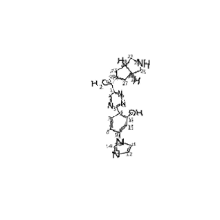 C=C(c1cnc(-c2ccc(-n3ccnc3)cc2O)nn1)[C@@H]1C[C@H]2CNC[C@H]2C1